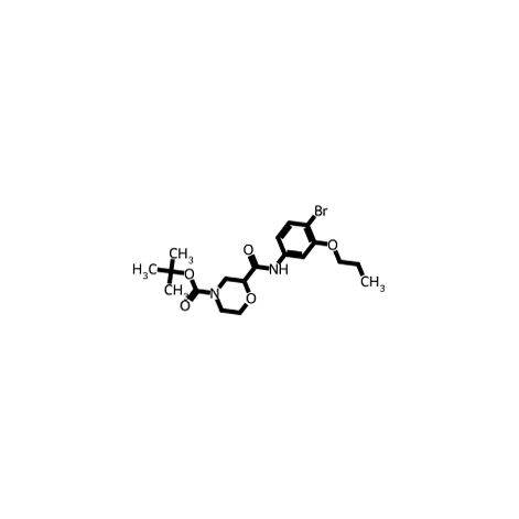 CCCOc1cc(NC(=O)C2CN(C(=O)OC(C)(C)C)CCO2)ccc1Br